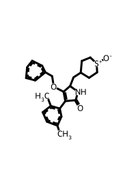 Cc1ccc(C)c(C2=C(OCc3ccccc3)C(CC3CC[S+]([O-])CC3)NC2=O)c1